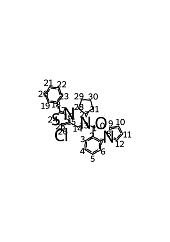 O=C(c1ccccc1-n1cccc1)N(Cc1nc(-c2ccccc2)sc1Cl)C1CCCC1